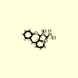 CCNC(=O)N(CC)C1Oc2ccccc2Cc2cccnc21